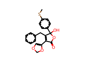 CSc1ccc(C2(O)OC(=O)C(C3=COCO3)=C2Cc2ccccc2)cc1